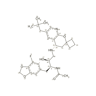 CC(=O)N[C@@H](Cc1cc(F)c2c(c1)OCO2)[C@@H](O)CN[C@H]1CC2(CCC2)Oc2ncc(CC(C)(C)C)cc21